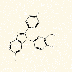 CNc1ccc(-n2c(-c3ccc(F)cc3)nc3ccc(N)nc32)cc1SC=O